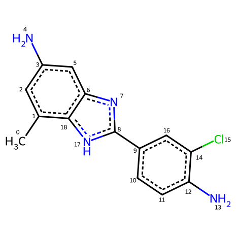 Cc1cc(N)cc2nc(-c3ccc(N)c(Cl)c3)[nH]c12